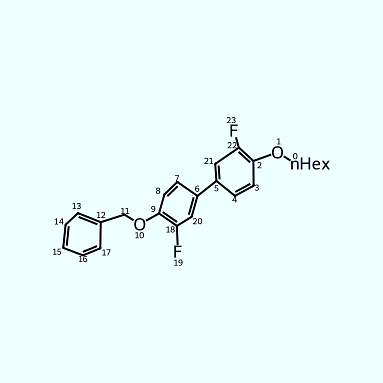 CCCCCCOc1ccc(-c2ccc(OCc3ccccc3)c(F)c2)cc1F